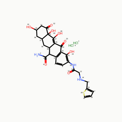 Cl.Cl.NC(=O)C1c2ccc(NC(=O)CNCc3cccs3)c(O)c2C(=O)C2=C(O)C3(O)C(=O)CC(O)CC3CC21